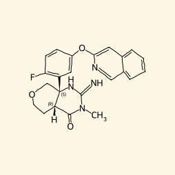 CN1C(=N)N[C@@]2(c3cc(Oc4cc5ccccc5cn4)ccc3F)COCC[C@H]2C1=O